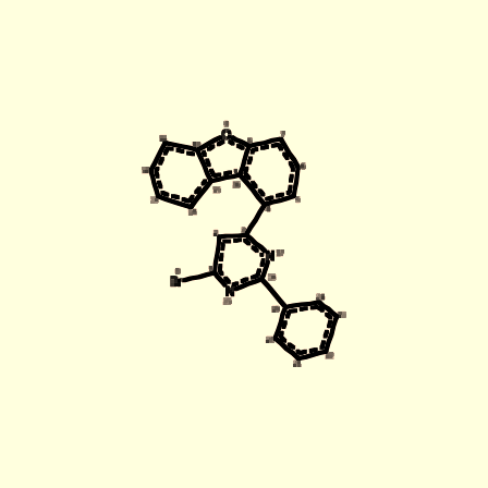 Brc1cc(-c2cccc3oc4ccccc4c23)nc(-c2ccccc2)n1